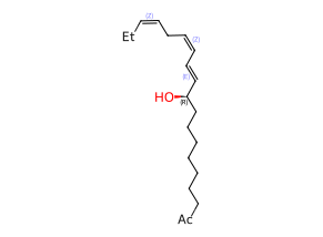 CC/C=C\C/C=C\C=C\[C@H](O)CCCCCCCC(C)=O